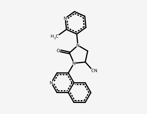 Cc1ncccc1N1CC(C#N)N(c2cncc3ccccc23)C1=O